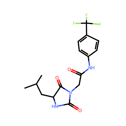 CC(C)CC1NC(=O)N(CC(=O)Nc2ccc(C(F)(F)F)cc2)C1=O